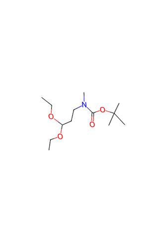 CCOC(CCN(C)C(=O)OC(C)(C)C)OCC